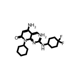 C=C(/N=C1\C(=C/N)C(N)=CC(=O)N1C1CCCCC1)NC1CCC(F)(F)CC1